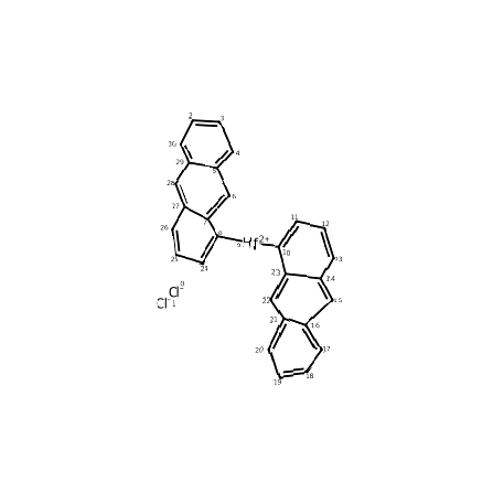 [Cl-].[Cl-].c1ccc2cc3[c]([Hf+2][c]4cccc5cc6ccccc6cc45)cccc3cc2c1